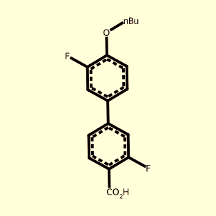 CCCCOc1ccc(-c2ccc(C(=O)O)c(F)c2)cc1F